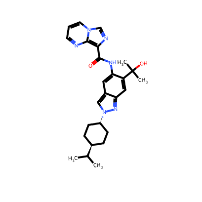 CC(C)[C@H]1CC[C@H](n2cc3cc(NC(=O)c4ncn5cccnc45)c(C(C)(C)O)cc3n2)CC1